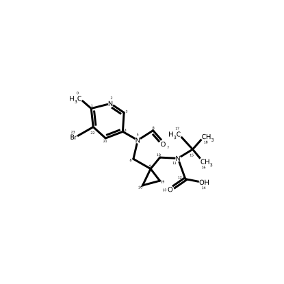 Cc1ncc(N(C=O)CC2(CN(C(=O)O)C(C)(C)C)CC2)cc1Br